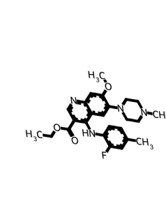 CCOC(=O)c1cnc2cc(OC)c(N3CCN(C)CC3)cc2c1Nc1ccc(C)cc1F